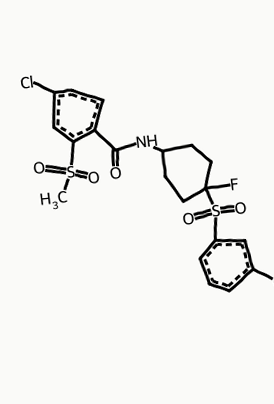 CS(=O)(=O)c1cc(Cl)ccc1C(=O)NC1CCC(F)(S(=O)(=O)c2cccc(C(F)(F)F)c2)CC1